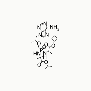 CC(C)OC(=O)C(C)(C)N[P@](=O)(CO[C@H](C)Cn1cnc2c(N)ncnc21)N[C@H](C)C(=O)OC1CCC1